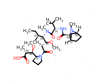 CC[C@H](C)[C@@H]([C@@H](CC(=O)N1CCC[C@H]1[C@H](OC)[C@@H](C)C(=O)O)OC)N(C)C(=O)[C@@H](NC(=O)[C@@H]1[C@H]2CC[C@H](C2)N1C)C(C)C